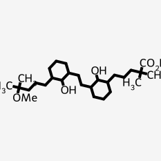 COC(C)(C)CCCC1CCCC(CCC2CCCC(CCCC(C)(C)C(=O)O)C2O)C1O